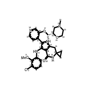 COc1c(Cl)cccc1Nc1c(-c2ccncc2OC[C@@H]2CN(C)CCO2)[nH]c2c1C(=O)NC1(CC1)C2